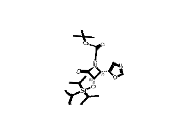 CC(C)[Si](O[C@@H]1C(=O)N(C(=O)OC(C)(C)C)[C@@H]1c1cnco1)(C(C)C)C(C)C